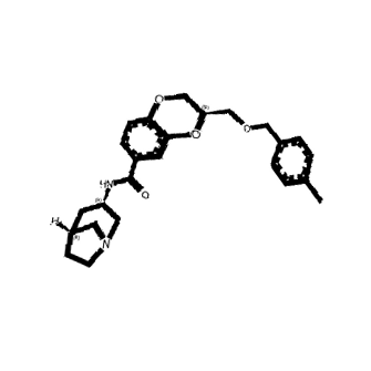 Cc1ccc(COC[C@@H]2COc3ccc(C(=O)N[C@@H]4C[C@H]5CCN(C5)C4)cc3O2)cc1